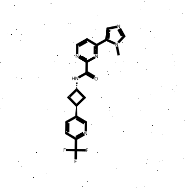 Cn1cncc1-c1ccnc(C(=O)N[C@H]2C[C@H](c3ccc(C(F)(F)F)nc3)C2)n1